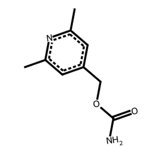 Cc1cc(COC(N)=O)cc(C)n1